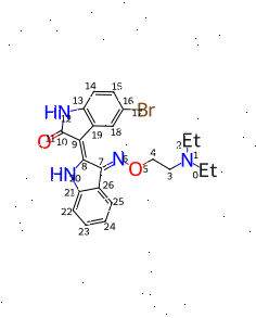 CCN(CC)CCO/N=C1/C(=C2/C(=O)Nc3ccc(Br)cc32)Nc2ccccc21